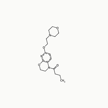 CCCC(=O)N1CCOc2nc(OCCN3CCOCC3)ccc21